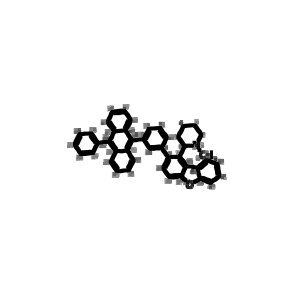 CN1CCCCC1c1c(-c2cccc(-c3c4ccccc4c(-c4ccccc4)c4ccccc34)c2)ccc2oc3ccccc3c12